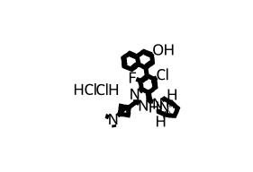 CN(C)C12CC(c3nc(N4C[C@H]5CC[C@@H](C4)N5)c4cc(Cl)c(-c5cc(O)cc6ccccc56)c(F)c4n3)(C1)C2.Cl.Cl